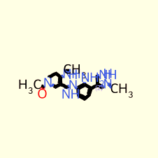 CN/C=C(\C=N)c1cccc(NC(=N)C2=C(NC)CCN(C(C)=O)C2)c1N